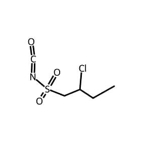 CCC(Cl)CS(=O)(=O)N=C=O